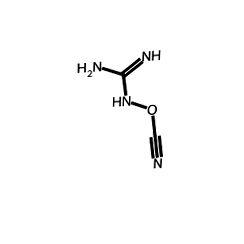 N#CONC(=N)N